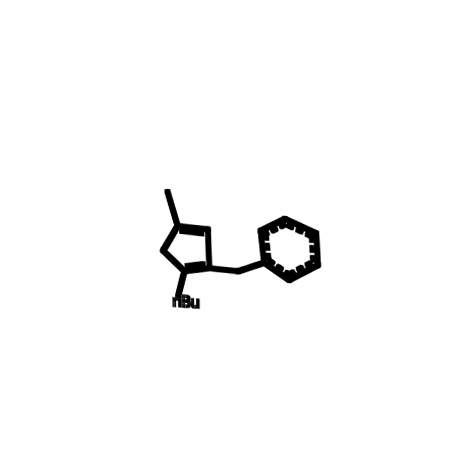 CCCCC1=C(Cc2ccccc2)C=C(C)C1